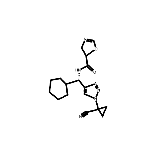 N#CC1(n2cc([C@@H](NC(=O)C3CN=CO3)C3CCCCC3)nn2)CC1